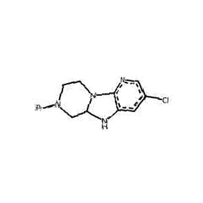 CC(C)N1CCN2c3ncc(Cl)cc3NC2C1